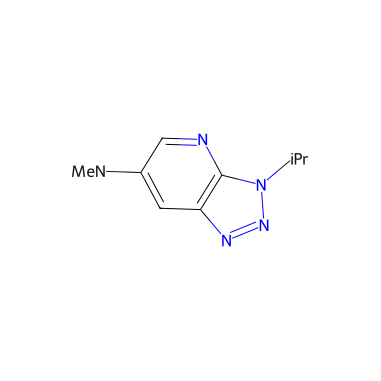 CNc1cnc2c(c1)nnn2C(C)C